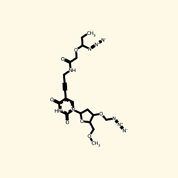 CCC(N=[N+]=[N-])OCC(=O)NCC#Cc1cn(C2CC(OCN=[N+]=[N-])C(COC)O2)c(=O)[nH]c1=O